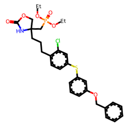 CCOP(=O)(CC1(CCCc2ccc(Sc3cccc(OCc4ccccc4)c3)cc2Cl)COC(=O)N1)OCC